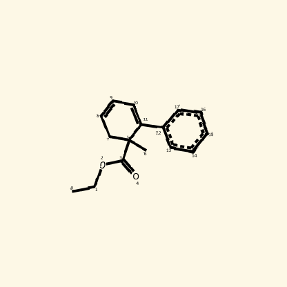 CCOC(=O)C1(C)CC=CC=C1c1ccccc1